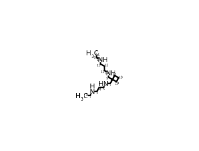 CCNCCCNCC1(CNCCCNCC)CCC1